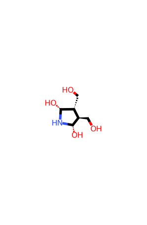 OC[C@@H]1[C@@H](CO)[C@@H](O)N[C@H]1O